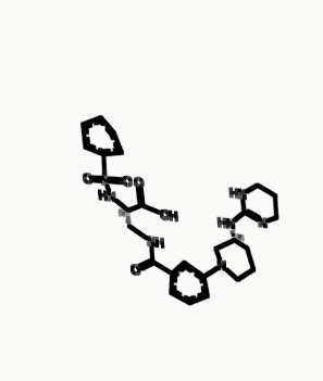 O=C(NC[C@H](NS(=O)(=O)c1ccccc1)C(=O)O)c1cccc(N2CCC[C@@H](NC3=NCCCN3)C2)c1